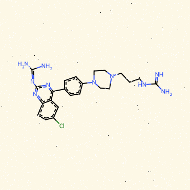 N=C(N)NCCCN1CCN(c2ccc(-c3nc(N=C(N)N)nc4ccc(Cl)cc34)cc2)CC1